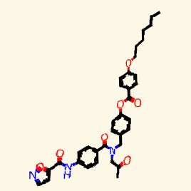 CCCCCCCOc1ccc(C(=O)Oc2ccc(CN(CC(C)=O)C(=O)c3ccc(NC(=O)c4ccno4)cc3)cc2)cc1